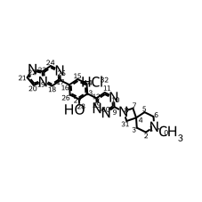 CN1CCC2(CC1)CN(c1ncc(-c3ccc(-c4cn5ccnc5cn4)cc3O)nn1)C2.Cl